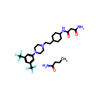 CCCC(N)=O.NC(=O)CC(=O)NC1CCC(CCN2CCN(c3cc(C(F)(F)F)cc(C(F)(F)F)c3)CC2)CC1